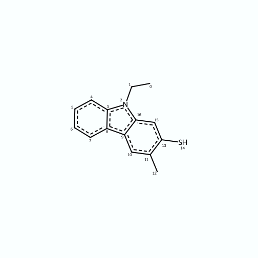 CCn1c2ccccc2c2cc(C)c(S)cc21